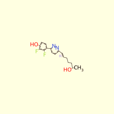 CC(O)CCC/C=C/c1ccc(-c2ccc(O)c(F)c2F)nn1